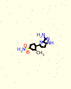 Cc1cc(S(N)(=O)=O)ccc1-c1ccc2[nH]nc(N)c2n1